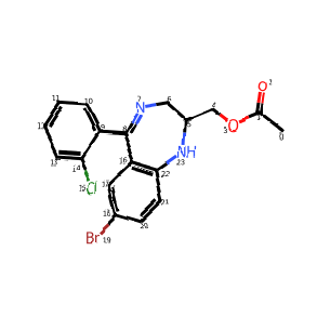 CC(=O)OCC1CN=C(c2ccccc2Cl)c2cc(Br)ccc2N1